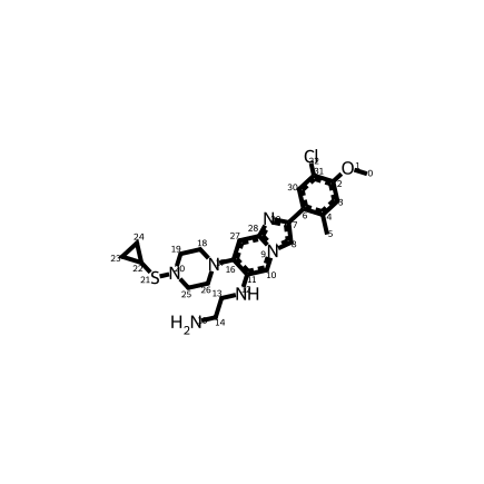 COc1cc(C)c(-c2cn3cc(NCCN)c(N4CCN(SC5CC5)CC4)cc3n2)cc1Cl